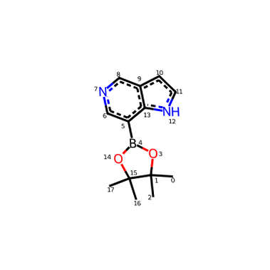 CC1(C)OB(c2cncc3cc[nH]c23)OC1(C)C